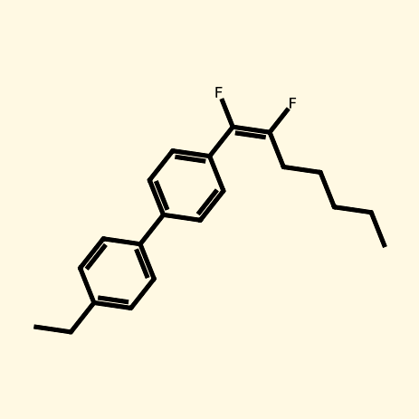 CCCCC/C(F)=C(/F)c1ccc(-c2ccc(CC)cc2)cc1